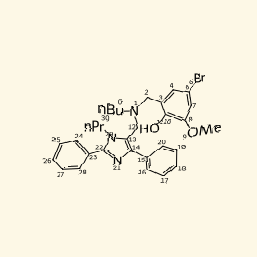 CCCCN(Cc1cc(Br)cc(OC)c1O)Cc1c(-c2ccccc2)nc(-c2ccccc2)n1CCC